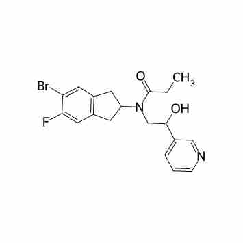 CCC(=O)N(CC(O)c1cccnc1)C1Cc2cc(F)c(Br)cc2C1